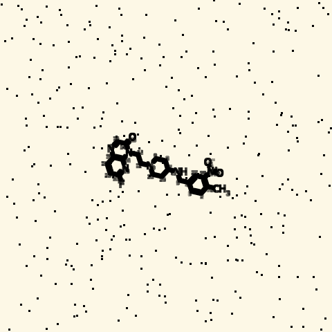 Cc1ccc(CNC2CCN(CCn3c(=O)cnc4ccc(F)nc43)CC2)cc1[N+](=O)[O-]